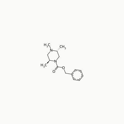 C[C@@H]1CN(C(=O)OCc2ccccc2)[C@@H](C)CN1C